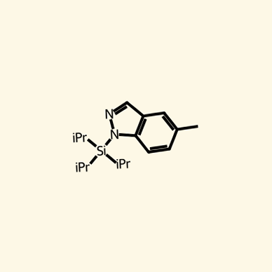 Cc1ccc2c(cnn2[Si](C(C)C)(C(C)C)C(C)C)c1